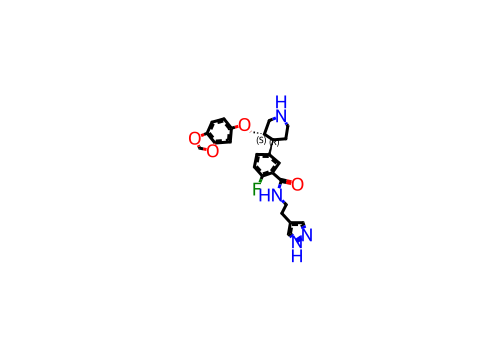 O=C(NCCc1cn[nH]c1)c1cc([C@@H]2CCNC[C@H]2COc2ccc3c(c2)OCO3)ccc1F